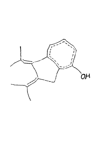 CC(C)=C1Cc2c(O)cccc2C1=C(C)C